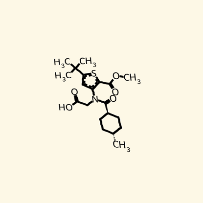 COC(=O)c1sc(C(C)(C)C)cc1N(CC(=O)O)C(=O)[C@H]1CC[C@H](C)CC1